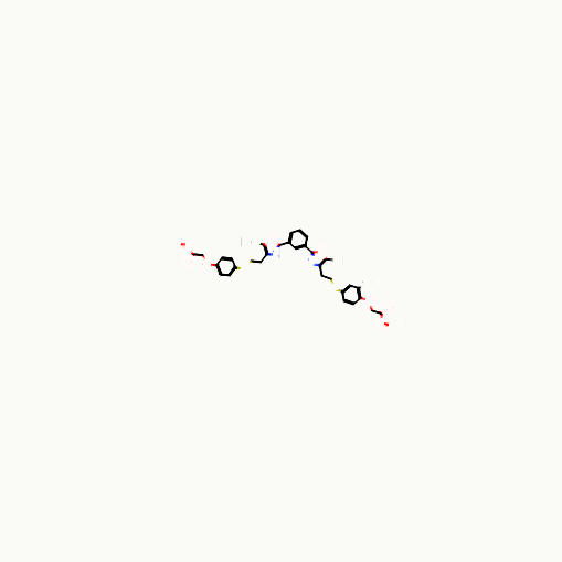 COC(=O)COc1ccc(SCCc2nc(-c3cccc(-c4nc(CCSc5ccc(OCC(=O)OC)c(C)c5)c(C)o4)c3)oc2C)cc1C